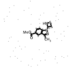 COC(=O)c1ccc2c(c1)c(C)nn2C1CSN1